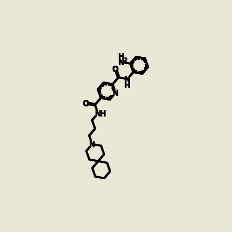 Nc1ccccc1NC(=O)c1ccc(C(=O)NCCCN2CCC3(CCCCC3)CC2)cn1